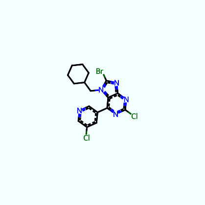 Clc1cncc(-c2nc(Cl)nc3nc(Br)n(CC4CCCCC4)c23)c1